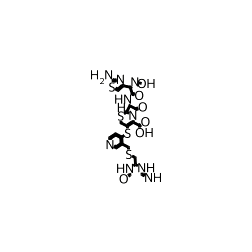 N=CNC(CSCc1cnccc1SC1=C(C(=O)O)N2C(=O)[C@@H](NC(=O)/C(=N\O)c3csc(N)n3)[C@@H]2SC1)NC=O